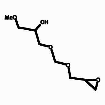 COCC(O)COCOCC1CO1